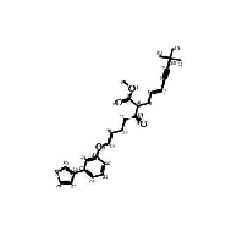 COC(=O)C(CC=CC#CC(C)(C)C)C(=O)CCCCOc1cccc(-c2ccsc2)c1